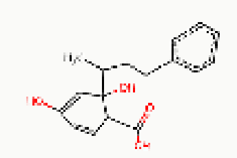 CC(CCc1ccccc1)C1(O)C=C(O)C=CC1C(=O)O